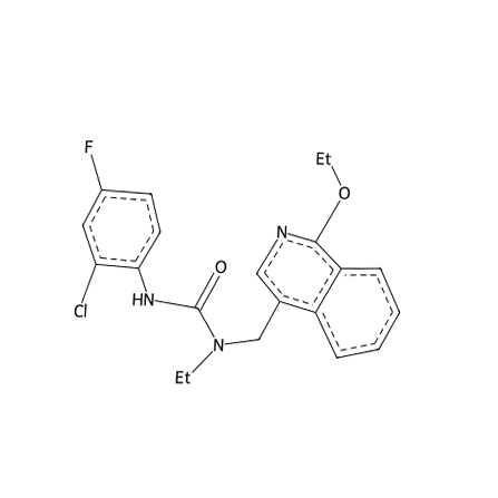 CCOc1ncc(CN(CC)C(=O)Nc2ccc(F)cc2Cl)c2ccccc12